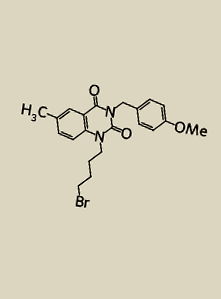 COc1ccc(Cn2c(=O)c3cc(C)ccc3n(CCCCBr)c2=O)cc1